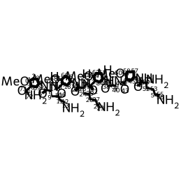 COc1ccc(NC(=O)[C@H](CCCCN)NC(=O)c2cc(NC(=O)[C@H](CCCCCN)NC(=O)c3cc(NC(=O)[C@H](C)NC(=O)c4cc(NC(=O)[C@@H](N)CCCCN)ccc4OC)ccc3OC)ccc2OC)cc1C(N)=O